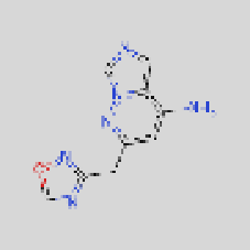 Nc1cc(Cc2ncon2)nn2cncc12